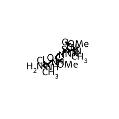 COC(=O)c1sc(N2CC[C@@H](NC(=O)c3[nH]c(C)c(N)c3Cl)[C@@H](OC)C2)nc1-c1ncnn1C